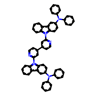 c1ccc(N(c2ccccc2)c2ccc3c(c2)c2ccccc2n3-c2cc(-c3ccnc(-n4c5ccccc5c5cc(N(c6ccccc6)c6ccccc6)ccc54)c3)ccn2)cc1